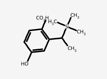 CC(c1cc(O)ccc1C(=O)O)[Si](C)(C)C